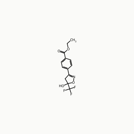 CCOC(=O)c1ccc(C2=NOC(O)(C(F)(F)F)C2)cc1